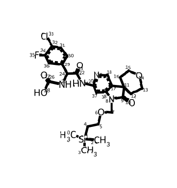 C[Si](C)(C)CCOCN1C(=O)C2(CCOCC2)c2cnc(NC(=O)C(NC(=O)O)c3ccc(Cl)c(F)c3)cc21